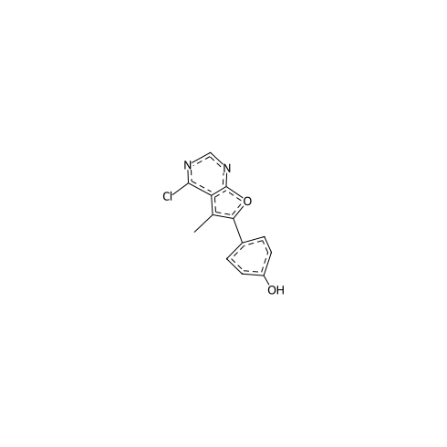 Cc1c(-c2ccc(O)cc2)oc2ncnc(Cl)c12